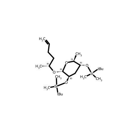 C=CCC[C@@H](C)O[C@@H]1O[C@@H](C)[C@H](O[Si](C)(C)C(C)(C)C)C[C@H]1O[Si](C)(C)C(C)(C)C